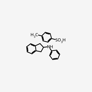 Cc1ccc(S(=O)(=O)O)cc1.c1ccc(NC2Cc3ccccc3C2)cc1